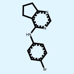 Brc1ccc(Nc2ncnc3c2CCC3)cc1